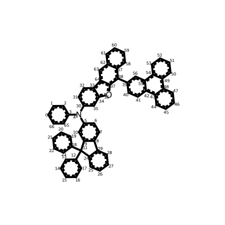 c1ccc(N(c2ccc3c(c2)C(c2ccccc2)(c2ccccc2)c2ccccc2-3)c2ccc3c(c2)oc2c(-c4ccc5c6ccccc6c6ccccc6c5c4)c4ccccc4cc23)cc1